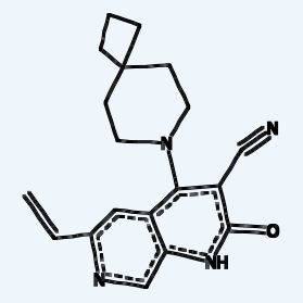 C=Cc1cc2c(N3CCC4(CCC4)CC3)c(C#N)c(=O)[nH]c2cn1